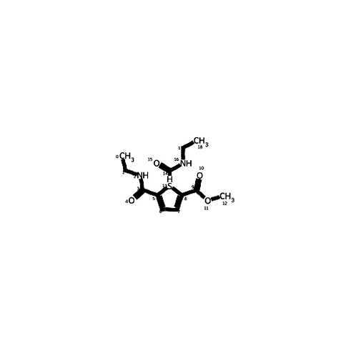 CCNC(=O)C1=CC=C(C(=O)OC)[SH]1C(=O)NCC